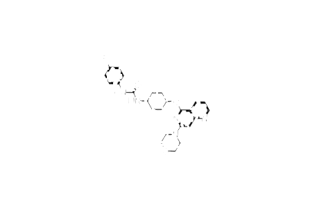 O=C(Nc1ccc(F)cc1)NC1CCC(Oc2nc(N3CCOCC3)cc3ncccc23)CC1